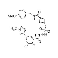 COc1ccc(CNC(=O)N2CC(CS(=O)(=O)NNC(=O)c3cc(-c4cn(C)cn4)cc(Cl)c3F)C2)cc1